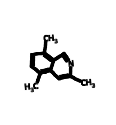 Cc1cc2c(C)ccc(C)c2cn1